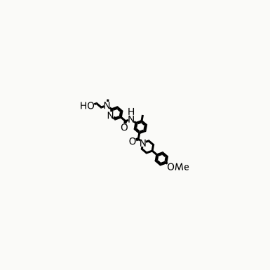 COc1ccc(C2CCN(C(=O)c3ccc(C)c(NC(=O)c4ccc(N(C)CCO)nc4)c3)CC2)cc1